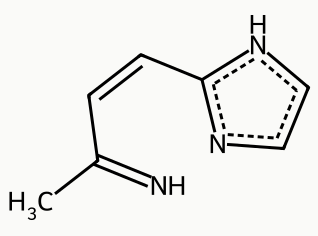 CC(=N)/C=C\c1ncc[nH]1